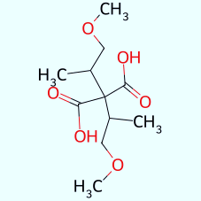 COCC(C)C(C(=O)O)(C(=O)O)C(C)COC